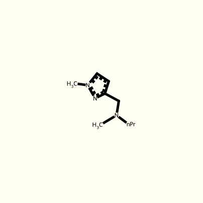 CCCN(C)Cc1ccn(C)n1